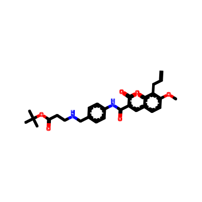 C=CCc1c(OC)ccc2cc(C(=O)Nc3ccc(CNCCC(=O)OC(C)(C)C)cc3)c(=O)oc12